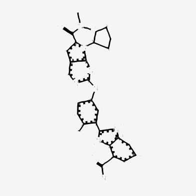 CN(C)C(=O)c1cc2cnc(Nc3ccc(Cl)c(-c4nc5c(C(N)=O)cccc5[nH]4)c3)nc2n1C1CCCC1